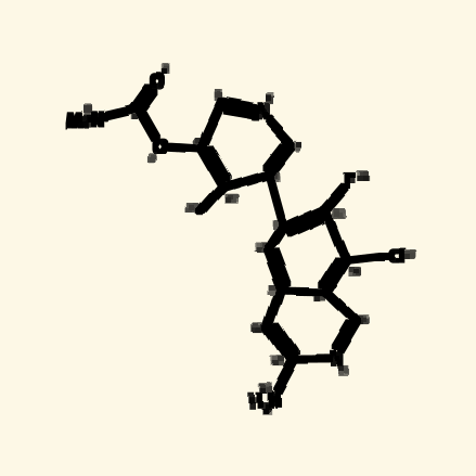 CNC(=O)Oc1cncc(-c2cc3cc(N)ncc3c(Cl)c2F)c1C